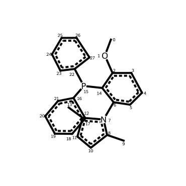 COc1cccc(-n2c(C)ccc2C)c1P(c1ccccc1)c1ccccc1